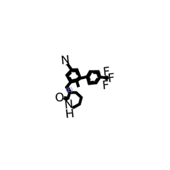 Cc1c(/C=C2\CCCCNC2=O)cc(C#N)cc1-c1ccc(C(F)(F)F)cc1